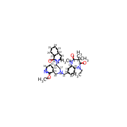 CCN1C(=O)C(C)(C)C(=O)N(C)c2cc(CN(CCn3ccc4ccccc4c3=O)Cc3cccnc3OC)ccc21